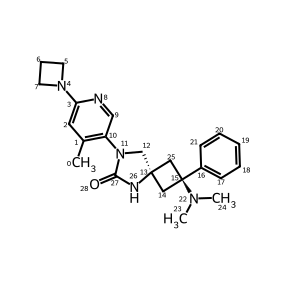 Cc1cc(N2CCC2)ncc1N1C[C@]2(C[C@](c3ccccc3)(N(C)C)C2)NC1=O